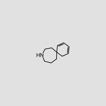 C1=CCC2(C=C1)CCCNCC2